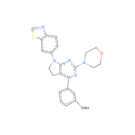 COc1cccc(-c2nc(N3CCOCC3)nc3c2CCN3c2ccc3ncsc3c2)c1